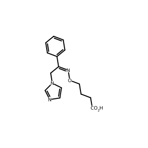 O=C(O)CCCON=C(Cn1ccnc1)c1ccccc1